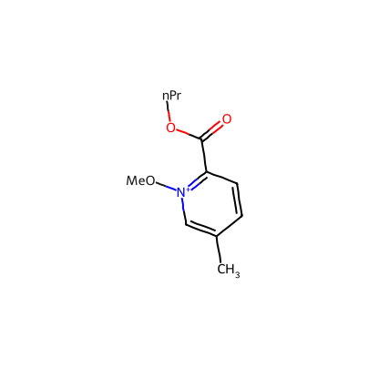 CCCOC(=O)c1ccc(C)c[n+]1OC